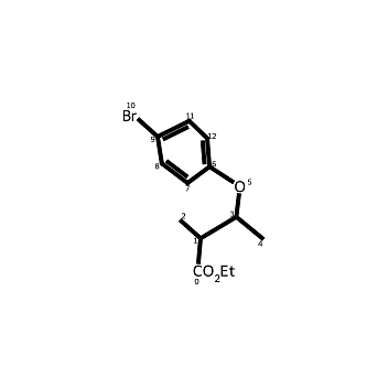 CCOC(=O)C(C)C(C)Oc1ccc(Br)cc1